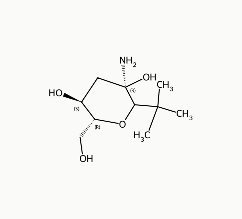 CC(C)(C)C1O[C@H](CO)[C@@H](O)C[C@@]1(N)O